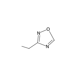 CCc1ncon1